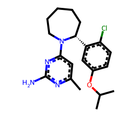 Cc1cc(N2CCCCC[C@@H]2c2cc(OC(C)C)ccc2Cl)nc(N)n1